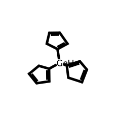 C1=CC[C]([GeH]([C]2=CC=CC2)[C]2=CC=CC2)=C1